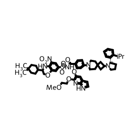 COCCOc1nc2[nH]ccc2cc1Oc1cc(N2CCC3(CC2)CC(N2CCC[C@H]2c2ccccc2C(C)C)C3)ccc1C(=O)NS(=O)(=O)c1cc2c(c([N+](=O)[O-])c1)NC(C1CCC(C)(C)CC1)CO2